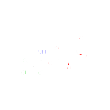 CO[C@H]1[C@H](OC(=N)C(Cl)(Cl)Cl)OC[C@H](OC)[C@H]1OC